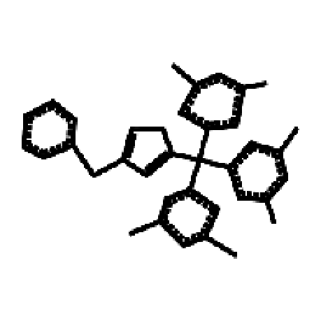 Cc1cc(C)cc(C(C2=CC(Cc3ccccc3)=CC2)(c2cc(C)cc(C)c2)c2cc(C)cc(C)c2)c1